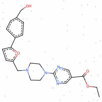 CCOC(=O)c1cnc(N2CCN(Cc3ccc(-c4ccc(CO)cc4)o3)CC2)nc1